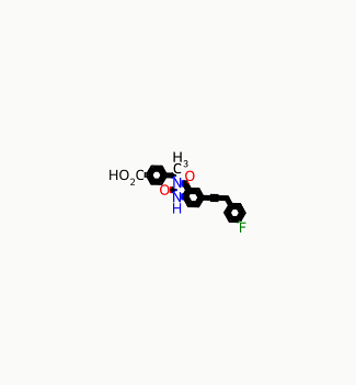 CC(c1ccc(C(=O)O)cc1)n1c(=O)[nH]c2ccc(C#CCc3ccc(F)cc3)cc2c1=O